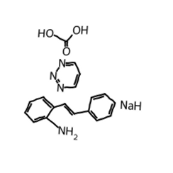 Nc1ccccc1C=Cc1ccccc1.O=C(O)O.[NaH].c1cnnnc1